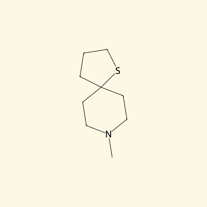 CN1CCC2(CCCS2)CC1